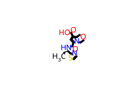 CC[C@@H](NC(=O)c1cc(C(=O)O)c2n1CCOC2)c1nccs1